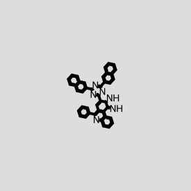 N=C1C(=N)c2c(c(-c3ccccc3)nc3ccccc23)C=C1c1nc(-c2ccc3ccccc3c2)nc(-c2ccc3ccccc3c2)n1